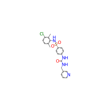 Cc1ccc(Cl)c(C)c1NS(=O)(=O)c1ccc(NC(=O)NCc2cccnc2)cc1